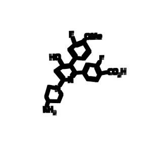 COc1ccc(-c2c(O)cc(N3CCC(N)CC3)nc2-c2ccc(C(=O)O)c(F)c2)cc1F